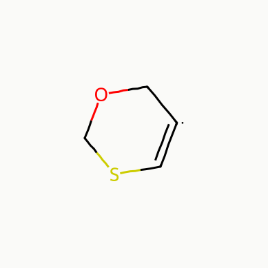 [C]1=CSCOC1